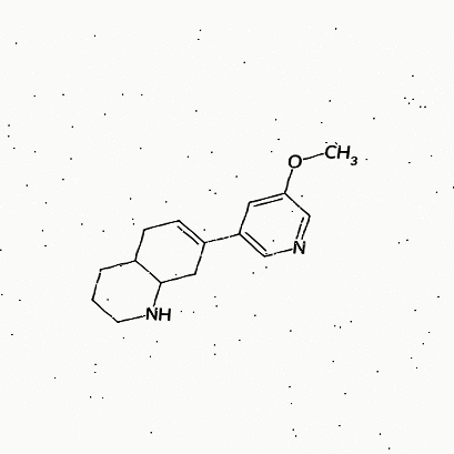 COc1cncc(C2=CCC3CCCNC3C2)c1